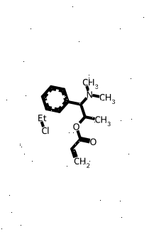 C=CC(=O)OC(C)C(c1ccccc1)N(C)C.CCCl